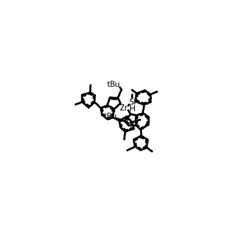 Cc1cc(C)cc(-c2ccc(-c3cc(C)cc(C)c3)c3c2C=C(CC(C)(C)C)[CH]3[Zr]([CH]2C(CC(C)(C)C)=Cc3c(-c4cc(C)cc(C)c4)ccc(-c4cc(C)cc(C)c4)c32)[SiH](C)C)c1